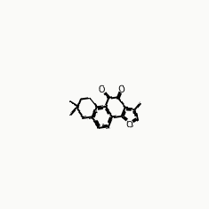 Cc1coc2c1C(=O)C(=O)c1c-2ccc2c1CCC(C)(C)C2